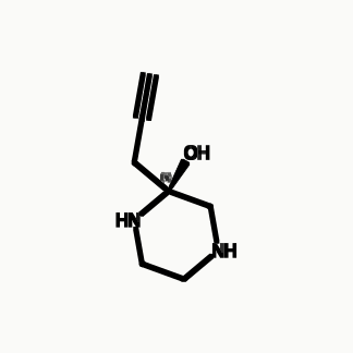 C#CC[C@]1(O)CNCCN1